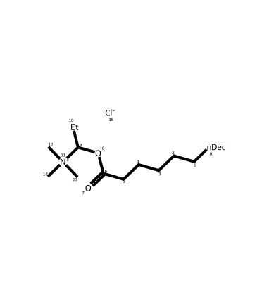 CCCCCCCCCCCCCCCC(=O)OC(CC)[N+](C)(C)C.[Cl-]